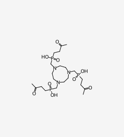 CC(=O)CCP(=O)(O)CN1CCN(CP(=O)(O)CCC(C)=O)CCN(CP(=O)(O)CCC(C)=O)CC1